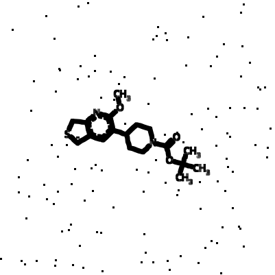 COc1nc2c(cc1C1CCN(C(=O)OC(C)(C)C)CC1)CSC2